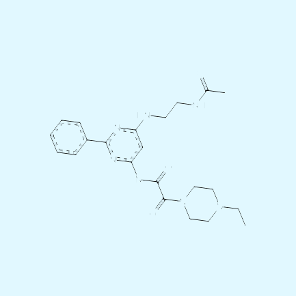 CCN1CCN(C(=O)C(=O)Nc2cc(NCCNC(C)=O)nc(-c3ccccc3)n2)CC1